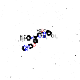 CC1CC2CC(C1)C(NC(=O)c1ccc(-c3cn(C4CCC(C)(C)CC4)c4cc(OC5CCN(c6ncccn6)CC5)ccc34)nc1C(F)(F)F)(C(=O)O)C2